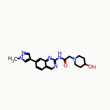 Cn1cc(-c2ccc3cnc(NC(=O)CN4CCC(O)CC4)nc3c2)cn1